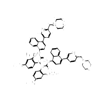 COc1cc([N+](=O)[O-])ccc1N(C(=O)Nc1ccc(-c2ccc(CN3CCOCC3)nc2)c2ccccc12)N(C(=O)Nc1ccc(-c2ccc(CN3CCOCC3)nc2)c2ccccc12)c1ccc([N+](=O)[O-])cc1C